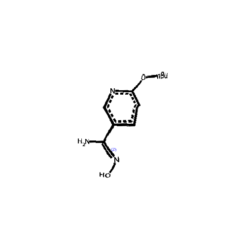 CCCCOc1ccc(/C(N)=N/O)cn1